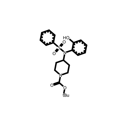 CC(C)(C)OC(=O)N1CCC(N(c2ccccc2O)S(=O)(=O)c2ccccc2)CC1